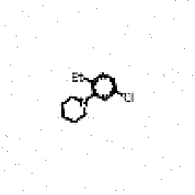 CCc1ccc(Cl)cc1N1CCCCC1